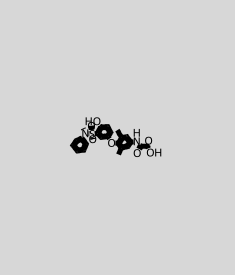 Cc1cc(NC(=O)C(=O)O)cc(C)c1Oc1ccc(O)c(S(=O)(=O)N(C)c2ccccc2)c1